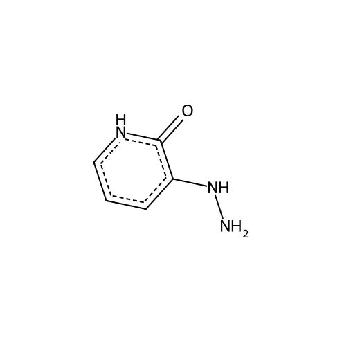 NNc1ccc[nH]c1=O